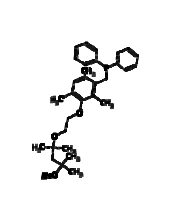 COC(C)(C)CC(C)(C)OCCOc1c(C)cc(C)c(CP(c2ccccc2)c2ccccc2)c1C